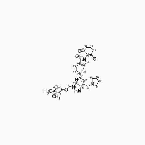 C[Si](C)(C)CCOCn1cnc2c(CN3CCCC3)cc(-c3ccc4c(c3)CN(N3C(=O)CCCC3=O)C4=O)nc21